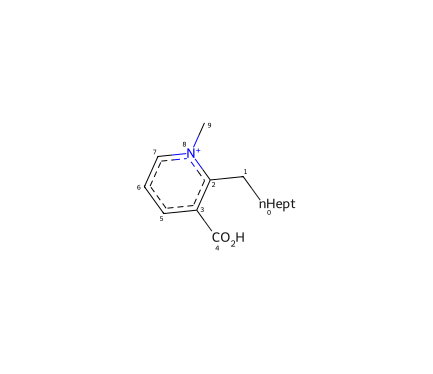 CCCCCCCCc1c(C(=O)O)ccc[n+]1C